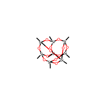 C[Si]12O[Si]3(C)O[Si]4(C)O[Si](C)(O1)O[Si]1(C)O[Si](C)(O2)O[Si](C)(O3)O[Si](C)(O4)O1